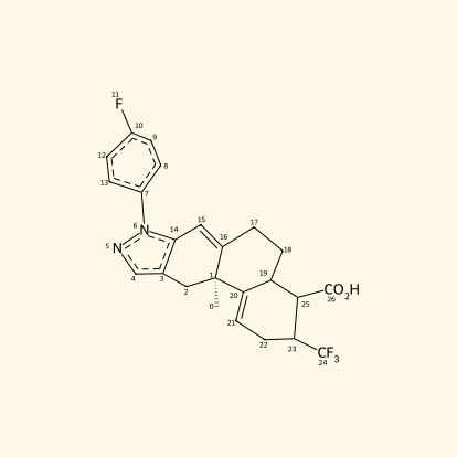 C[C@]12Cc3cnn(-c4ccc(F)cc4)c3C=C1CCC1C2=CCC(C(F)(F)F)C1C(=O)O